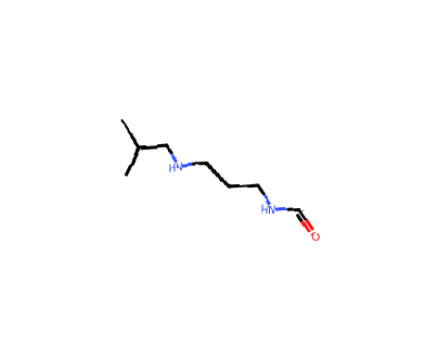 CC(C)CNCCCN[C]=O